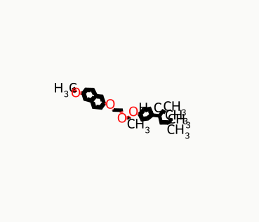 COc1ccc2cc(OCCOC(C)Oc3ccc(C(C=C(C)C)C(C)(C)C)cc3)ccc2c1